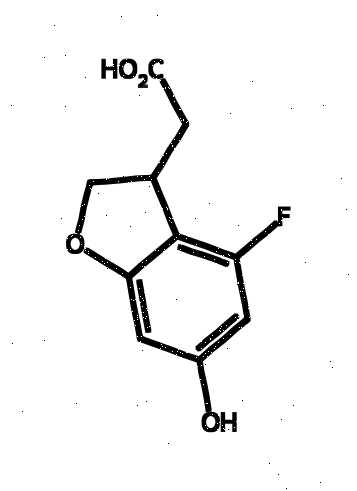 O=C(O)CC1COc2cc(O)cc(F)c21